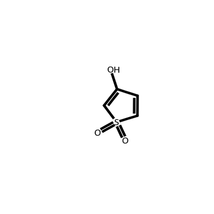 O=S1(=O)C=CC(O)=C1